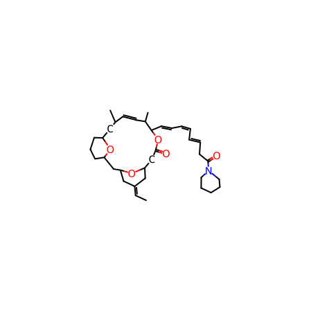 C/C=C1\CC2CC(=O)OC(/C=C/C=C\C=C\CC(=O)N3CCCCC3)C(C)/C=C/C(C)CC3CCCC(CC(C1)O2)O3